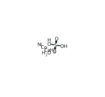 O.O=S(=O)(O)O.[CaH2].[Co].[Ni]